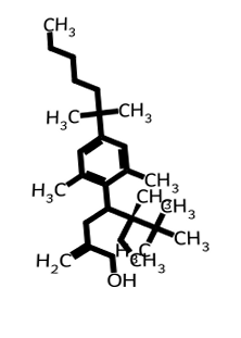 C=C(CO)CC(c1c(C)cc(C(C)(C)CCCCC)cc1C)[C@@](C)(CC)C(C)(C)C